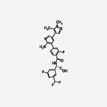 Cc1c(-c2cnc(N)c(-c3ccc(C(=O)N[C@H](CO)c4cc(F)cc(C(F)F)c4)c(F)c3)c2)cnn1C